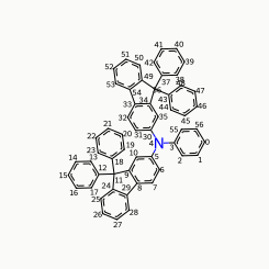 c1ccc(N(c2ccc3c(c2)C(c2ccccc2)(c2ccccc2)c2ccccc2-3)c2ccc3c(c2)C(c2ccccc2)(c2ccccc2)c2ccccc2-3)cc1